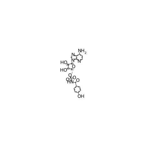 Nc1ccnc2c1ncn2[C@@H]1O[C@H](COS(=O)(=O)NC(=O)c2ccc(O)cc2)[C@@H](O)[C@H]1O